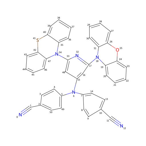 N#Cc1ccc(N(c2ccc(C#N)cc2)c2cc(N3c4ccccc4Oc4ccccc43)nc(N3c4ccccc4Sc4ccccc43)c2)cc1